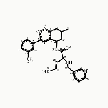 CC1Cc2nnc(-c3cccc(C(F)(F)F)c3)cc2C(OC(=O)C(NCc2cccnc2)OCC=O)C1